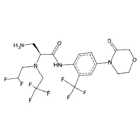 NC[C@@H](C(=O)Nc1ccc(N2CCOCC2=O)cc1C(F)(F)F)N(CC(F)F)CC(F)(F)F